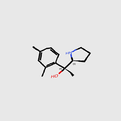 Cc1ccc([C@@](C)(O)[C@@H]2CCCN2)c(C)c1